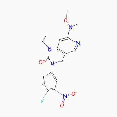 CCN1C(=O)N(c2ccc(F)c([N+](=O)[O-])c2)Cc2cnc(N(C)OC)cc21